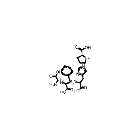 NC(Cc1c[nH]cn1)C(=O)O.NC(Cc1ccccc1)C(=O)O.NCC(=O)O.O=C(O)[C@@H]1CCCN1